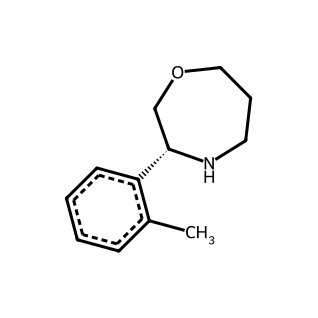 Cc1ccccc1[C@@H]1COCCCN1